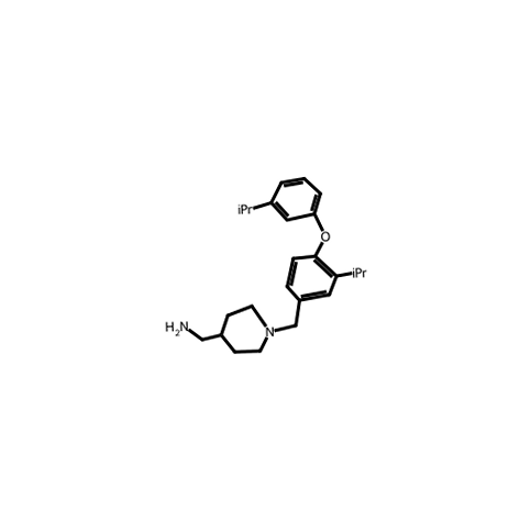 CC(C)c1cccc(Oc2ccc(CN3CCC(CN)CC3)cc2C(C)C)c1